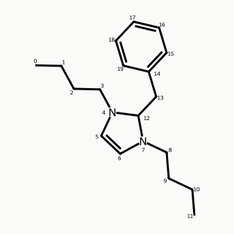 CCCCN1C=CN(CCCC)C1Cc1ccccc1